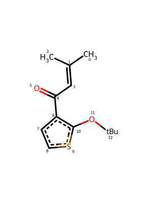 CC(C)=CC(=O)c1ccsc1OC(C)(C)C